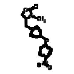 CN1C(=O)OCC1Cc1ccc(Oc2ccc([N+](=O)[O-])cc2)cc1